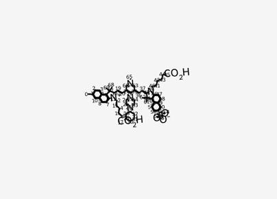 Cc1ccc2c3c(ccc2c1)[N+](CCCCCC(=O)O)=C(/C=C/C1=C(N2CCN(C4CCCCC4)CC2)C(=C/C=C2/N(CCCCCC(=O)O)c4ccc5cc(S(=O)(=O)[O-])ccc5c4C2(C)C)/CN(C)C1)C3(C)C